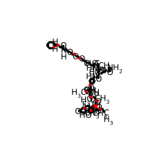 CCCC1O[C@@H]2C[C@H]3[C@@H]4C[C@H](F)C5=CC(=O)C=C[C@]5(C)[C@@]4(F)[C@@H](O)C[C@]3(C)[C@]2(C(=O)COC(=O)C(C)(C)NC(=O)[C@H](CC(C)C)NC(=O)OCc2ccc(NC(=O)[C@H](CCCNC(N)=O)NC(=O)[C@@H](NC(=O)CCOCCOCCOCCOCCNC(=O)CC[C@@H]3[C@@H]4CCC#CCC[C@@H]43)C(C)C)cc2)O1